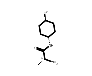 CC(C)[C@H]1CC[C@H](NC(=O)[C@@H](C)N)CC1